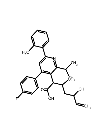 C=CC(O)CC(O)C(C(=O)O)c1c(-c2ccc(F)cc2)cc(-c2ccccc2C)nc1C(C)C